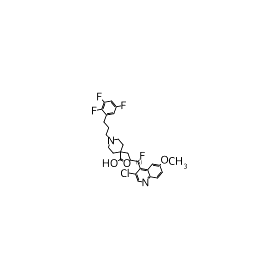 COc1ccc2ncc(Cl)c([C@@H](F)CCC3(C(=O)O)CCN(CCCc4cc(F)cc(F)c4F)CC3)c2c1